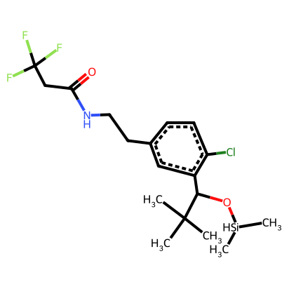 C[SiH](C)OC(c1cc(CCNC(=O)CC(F)(F)F)ccc1Cl)C(C)(C)C